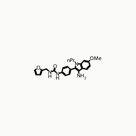 CCCn1c(-c2ccc(NC(=O)NCc3ccco3)cc2)c(N)c2ccc(OC)cc21